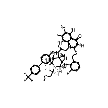 [2H]c1c(C)c([2H])c2c(c1[2H])c(=O)c([2H])c(SCc1cccc(F)c1F)n2CC(=O)N(Cc1ccc(-c2ccc(C(F)(F)F)cc2)cc1)C1([2H])C([2H])([2H])C([2H])([2H])N(C([2H])([2H])COC)C([2H])([2H])C1([2H])[2H]